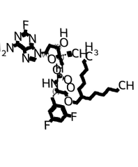 C#C[C@]1(CO[PH](=O)N[C@@H](Cc2cc(F)cc(F)c2)C(=O)OCC(CCCCCC)CCCCCC)O[C@@H](n2cnc3c(N)nc(F)nc32)C[C@@H]1O